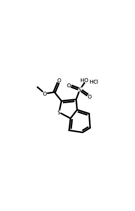 COC(=O)c1sc2ccccc2c1S(=O)(=O)O.Cl